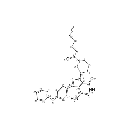 CNC/C=C/C(=O)N1CCC[C@@H](n2cc(-c3ccc(Oc4ccccc4)cc3)c3c(N)n[nH]c(=O)c32)C1